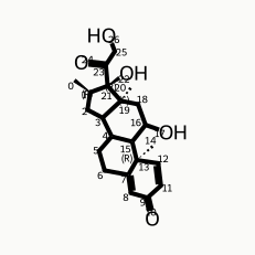 C[C@@H]1CC2C3CCC4=CC(=O)C=C[C@]4(C)C3C(O)C[C@]2(C)[C@@]1(O)C(=O)CO